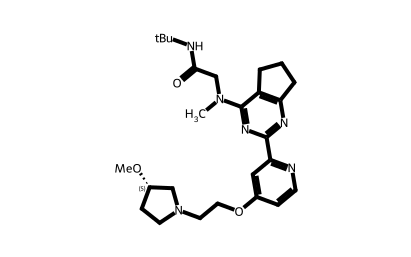 CO[C@H]1CCN(CCOc2ccnc(-c3nc4c(c(N(C)CC(=O)NC(C)(C)C)n3)CCC4)c2)C1